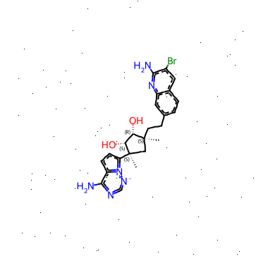 C[C@]1(CCc2ccc3cc(Br)c(N)nc3c2)C[C@@](C)(c2ccc3c(N)ncnn23)[C@H](O)[C@@H]1O